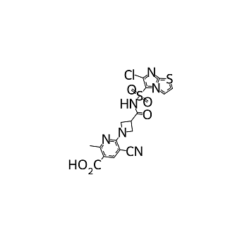 Cc1nc(N2CC(C(=O)NS(=O)(=O)c3c(Cl)nc4sccn34)C2)c(C#N)cc1C(=O)O